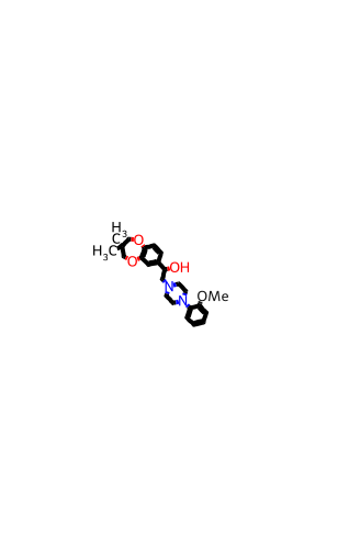 COc1ccccc1N1CCN(CC(O)c2ccc3c(c2)OCC(C)(C)CO3)CC1